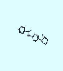 O=C(Nc1ccc(-c2ccccc2F)cn1)c1ccc(F)cc1